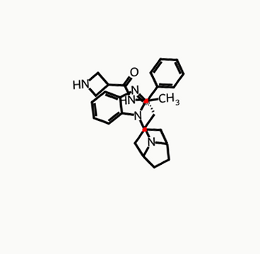 Cc1nc2ccccc2n1C1CC2CCC(C1)N2CC[C@H](NC(=O)C1CNC1)c1ccccc1